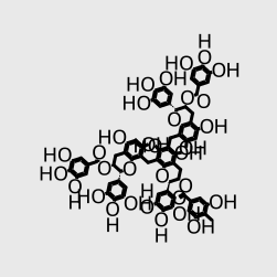 Cc1c(O)cc(C(=O)O[C@@H]2Cc3c(O)c(Cc4c(O)cc(O)c5c4O[C@H](c4cc(O)c(O)c(O)c4)[C@H](OC(=O)c4cc(O)c(O)c(O)c4)C5)c(O)c(Cc4c(O)cc(O)c5c4O[C@H](c4cc(O)c(O)c(O)c4)[C@H](OC(=O)c4cc(O)c(O)c(O)c4)C5)c3O[C@@H]2c2cc(O)c(O)c(O)c2)cc1O